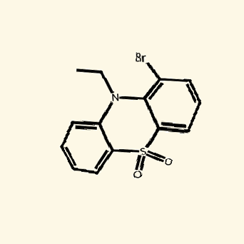 CCN1c2ccccc2S(=O)(=O)c2cccc(Br)c21